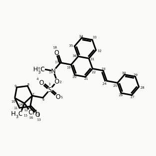 CN(OS(=O)(=O)CC12CCC(CC1=O)C2(C)C)C(=O)c1ccc(/C=C/c2ccccc2)c2ccccc12